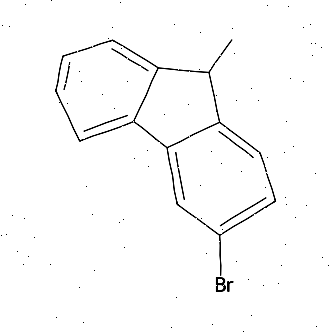 CC1c2ccccc2-c2cc(Br)ccc21